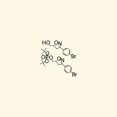 CC(C)(C)OP(=O)(OCC1CC(c2ccc(Br)cc2)=NO1)OC(C)(C)C.OCC1CC(c2ccc(Br)cc2)=NO1